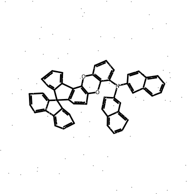 c1ccc2c(c1)-c1ccccc1C21c2ccccc2-c2c1ccc1c2Oc2cccc(N(c3ccc4ccccc4c3)c3ccc4ccccc4c3)c2O1